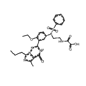 CCCc1nc(C)c2c(=O)[nH]c(-c3cc(N(CCNC(=O)C(=O)O)S(=O)(=O)c4ccccc4)ccc3OCC)nn12